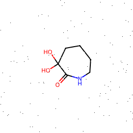 O=C1NCCCCC1(O)O